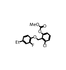 CCc1ccc(OCc2c(Cl)cccc2OC(=O)OC)c(F)c1